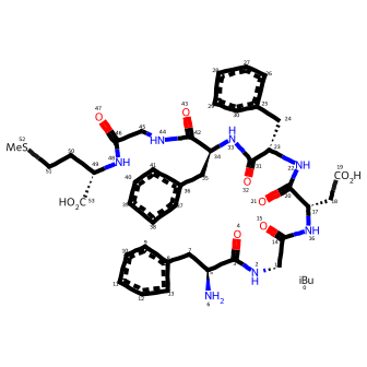 CC[C@H](C)[C@H](NC(=O)[C@@H](N)Cc1ccccc1)C(=O)N[C@@H](CC(=O)O)C(=O)N[C@@H](Cc1ccccc1)C(=O)N[C@@H](Cc1ccccc1)C(=O)NCC(=O)N[C@@H](CCSC)C(=O)O